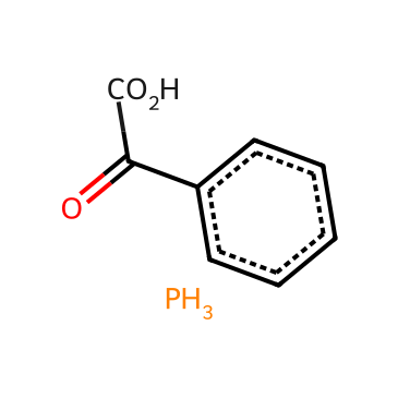 O=C(O)C(=O)c1ccccc1.P